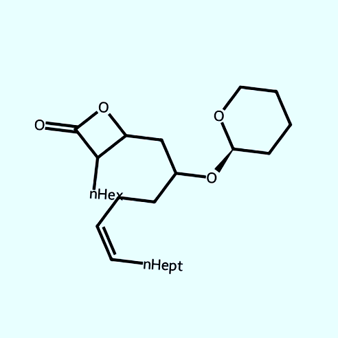 CCCCCCC/C=C\CCC(CC1OC(=O)C1CCCCCC)O[C@@H]1CCCCO1